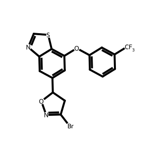 FC(F)(F)c1cccc(Oc2cc(C3CC(Br)=NO3)cc3ncsc23)c1